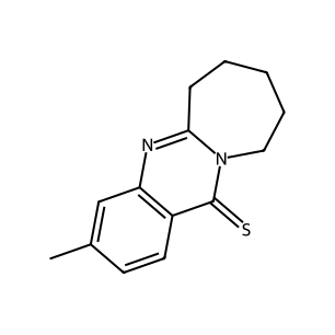 Cc1ccc2c(=S)n3c(nc2c1)CCCCC3